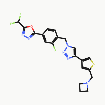 Fc1cc(-c2nnc(C(F)F)o2)ccc1Cn1cc(-c2csc(CN3CCC3)c2)nn1